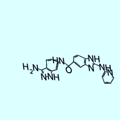 Nc1n[nH]c2cc(NC(=O)c3ccc4[nH]c(Nc5ccccn5)nc4c3)ccc12